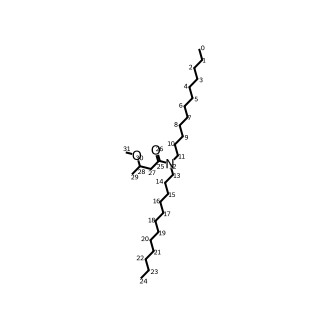 CCCCCCCCCCCCN(CCCCCCCCCCCC)C(=O)CC(C)OC